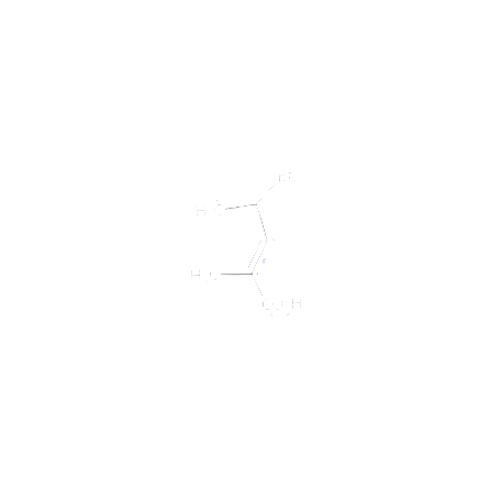 CCC(C)/C=C(\C)C(=O)O